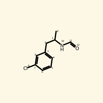 CC(Cc1cccc(Cl)c1)NC=O